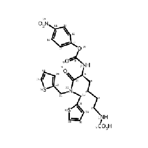 O=C(O)NCCCC[C@H](NC(=O)Oc1ccc([N+](=O)[O-])cc1)C(=O)N(Cc1cccs1)Cc1cccs1